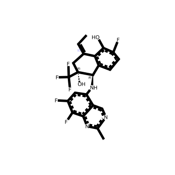 C/C=C1/C[C@](O)(C(F)(F)F)[C@H](Nc2cc(F)c(F)c3nc(C)ncc23)c2ccc(F)c(O)c21